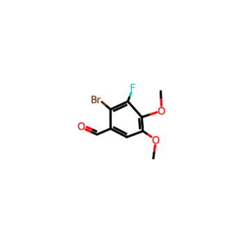 COc1cc(C=O)c(Br)c(F)c1OC